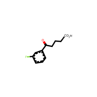 O=C(O)CCCC(=O)c1cccc(F)c1